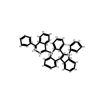 c1ccc(-c2nnc(N3c4ccccc4-c4c(n(-c5ccccc5)c5ccccc45)-c4ccccc43)c3ccccc23)cc1